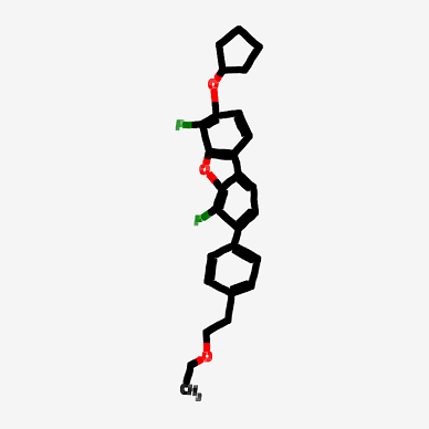 CCOCCc1ccc(-c2ccc3c(oc4c(F)c(OC5CCCC5)ccc43)c2F)cc1